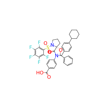 O=C(O)c1ccc(N(Cc2ccc(C3CCCCC3)cc2)C(=O)[C@]2(OCc3ccccc3)CCCN2S(=O)(=O)c2c(F)c(F)c(F)c(F)c2F)cc1